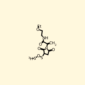 [3H]SOSC1CC(=O)N(C(=C)C(=O)NCCOCC)C1=O